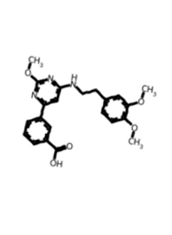 COc1nc(NCCc2ccc(OC)c(OC)c2)cc(-c2cccc(C(=O)O)c2)n1